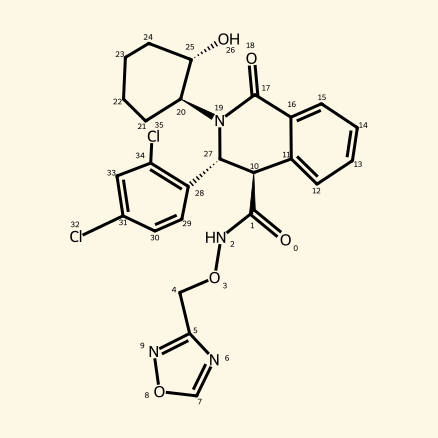 O=C(NOCc1ncon1)[C@@H]1c2ccccc2C(=O)N([C@H]2CCCC[C@@H]2O)[C@H]1c1ccc(Cl)cc1Cl